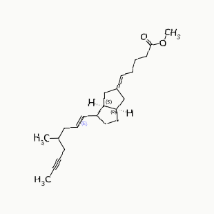 CC#CCC(C)C/C=C/C1CC[C@@H]2CC(=CCCCC(=O)OC)C[C@H]12